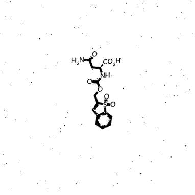 NC(=O)C[C@H](NC(=O)OCC1=Cc2ccccc2S1(=O)=O)C(=O)O